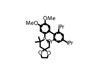 COc1cc(-c2c(C(C)C)cc(C(C)C)cc2C(C)C)c(P2CCC3(CC2(C)C)OCCO3)cc1OC